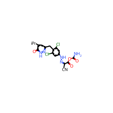 CC(C)c1cc(Cc2c(Cl)cc(NN=C(C#N)C(=O)OC(N)=O)cc2Cl)n[nH]c1=O